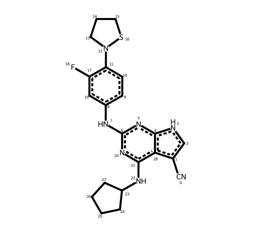 N#Cc1c[nH]c2nc(Nc3ccc(N4CCCS4)c(F)c3)nc(NC3CCCC3)c12